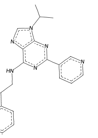 CC(C)n1cnc2c(NCCc3cc[c]cc3)nc(-c3cccnc3)nc21